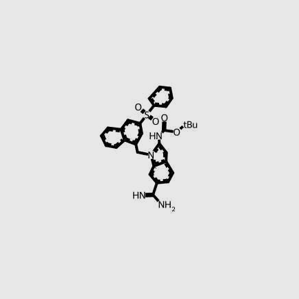 CC(C)(C)OC(=O)Nc1cc2ccc(C(=N)N)cc2n1Cc1cc(S(=O)(=O)c2ccccc2)cc2ccccc12